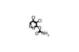 NC(=O)Oc1nncc(Cl)c1Cl